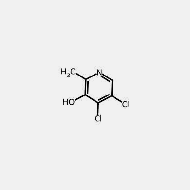 Cc1ncc(Cl)c(Cl)c1O